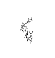 Cc1nc2ccc(-c3ccn4nc(NC5CN(C)C5)ncc34)nc2n1C